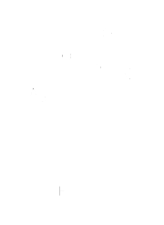 O=S(=O)([O-])c1ccc(F)cc1.[Ag+]